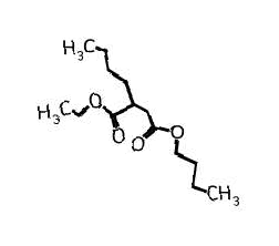 CCCCOC(=O)CC(CCCC)C(=O)OCC